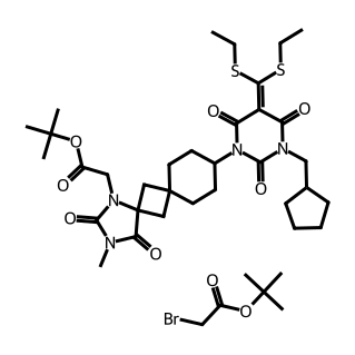 CC(C)(C)OC(=O)CBr.CCSC(SCC)=C1C(=O)N(CC2CCCC2)C(=O)N(C2CCC3(CC2)CC2(C3)C(=O)N(C)C(=O)N2CC(=O)OC(C)(C)C)C1=O